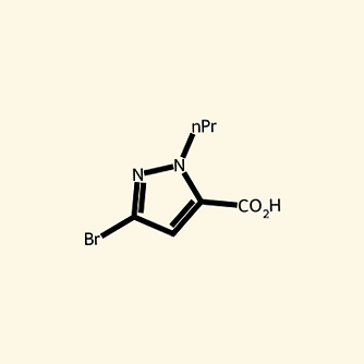 CCCn1nc(Br)cc1C(=O)O